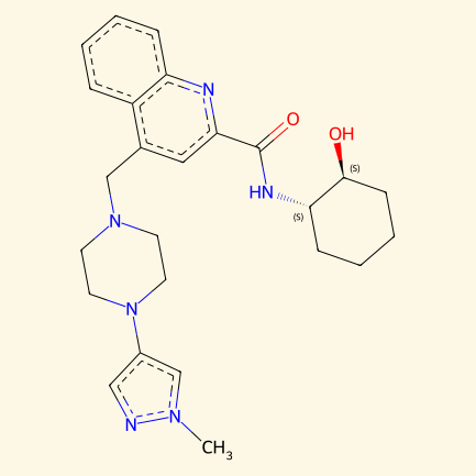 Cn1cc(N2CCN(Cc3cc(C(=O)N[C@H]4CCCC[C@@H]4O)nc4ccccc34)CC2)cn1